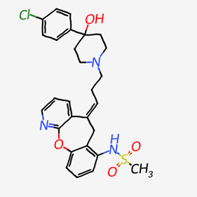 CS(=O)(=O)Nc1cccc2c1C/C(=C/CCN1CCC(O)(c3ccc(Cl)cc3)CC1)c1cccnc1O2